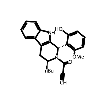 C#CC(=O)N1[C@@H](CCCC)Cc2c([nH]c3ccccc23)[C@@H]1c1c(O)cccc1OC